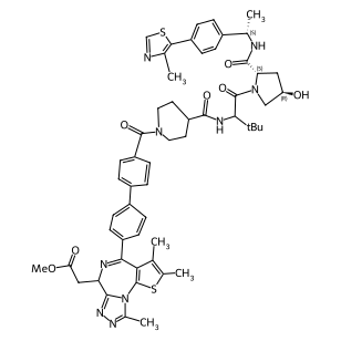 COC(=O)CC1N=C(c2ccc(-c3ccc(C(=O)N4CCC(C(=O)NC(C(=O)N5C[C@H](O)C[C@H]5C(=O)N[C@@H](C)c5ccc(-c6scnc6C)cc5)C(C)(C)C)CC4)cc3)cc2)c2c(sc(C)c2C)-n2c(C)nnc21